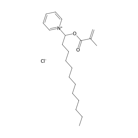 C=C(C)C(=O)OC(CCCCCCCCCCC)[n+]1ccccc1.[Cl-]